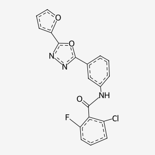 O=C(Nc1cccc(-c2nnc(-c3ccco3)o2)c1)c1c(F)cccc1Cl